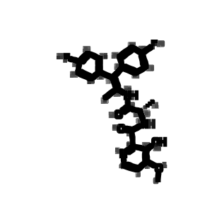 COc1ccnc(C(=O)N[C@@H](C)C(=O)NC(C)=C(c2ccc(F)cc2)c2ccc(F)cc2)c1O